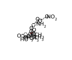 CC1(C)O[C@@H]2CC3C4CCC5=CC(=O)C=C[C@]5(C)[C@@]4(F)[C@@H](O)C[C@]3(C)[C@]2(C(=O)COC(=O)Oc2ccc(C[C@H](N)C(=O)OCCCCO[N+](=O)[O-])cc2)O1